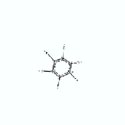 Fc1c(F)c(F)c(Cl)c(Cl)c1F